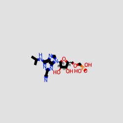 CC(C)Nc1nc(C#N)nc2c1ncn2[C@@H]1O[C@H](COCP(=O)(O)O)[C@@H](O)[C@H]1O